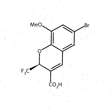 COc1cc(Br)cc2c1O[C@H](C(F)(F)F)C(C(=O)O)=C2